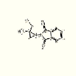 CC1(CBr)CN1N1C(=O)c2ccccc2C1=O